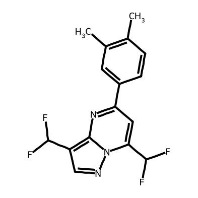 Cc1ccc(-c2cc(C(F)F)n3ncc(C(F)F)c3n2)cc1C